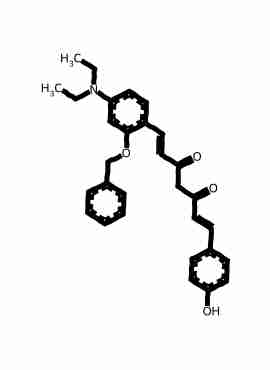 CCN(CC)c1ccc(C=CC(=O)CC(=O)C=Cc2ccc(O)cc2)c(OCc2ccccc2)c1